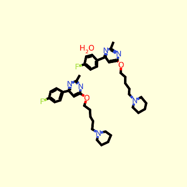 Cc1nc(OCCCCCN2CCCCC2)cc(-c2ccc(F)cc2)n1.Cc1nc(OCCCCCN2CCCCC2)cc(-c2ccc(F)cc2)n1.O